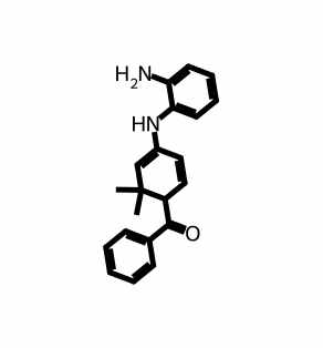 CC1(C)C=C(Nc2ccccc2N)C=CC1C(=O)c1ccccc1